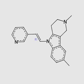 Cc1ccc2c(c1)c1c(n2/C=C/c2cccnc2)CCN(C)C1